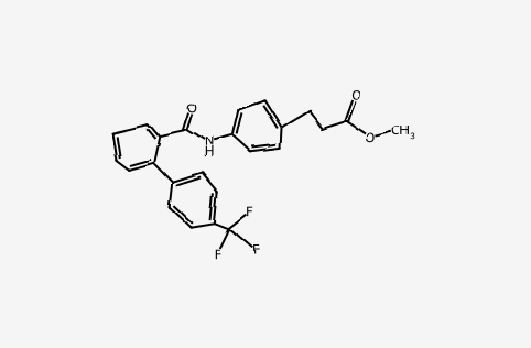 COC(=O)CCc1ccc(NC(=O)c2ccccc2-c2ccc(C(F)(F)F)cc2)cc1